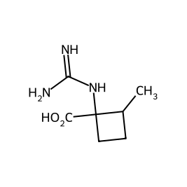 CC1CCC1(NC(=N)N)C(=O)O